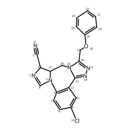 N#CC1N=CN2c3ccc(Cl)cc3-c3nnc(COc4ccccc4)n3CC12